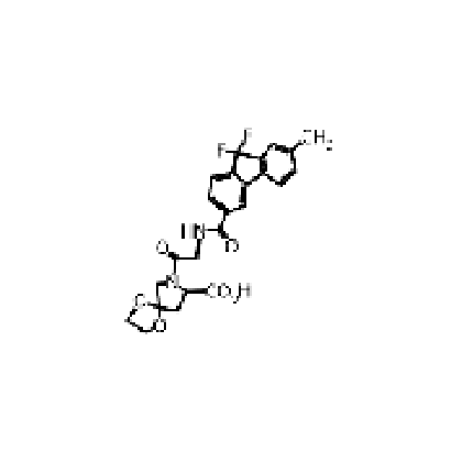 Cc1ccc2c(c1)C(F)(F)c1ccc(C(=O)NCC(=O)N3CC4(CC3C(=O)O)OCCO4)cc1-2